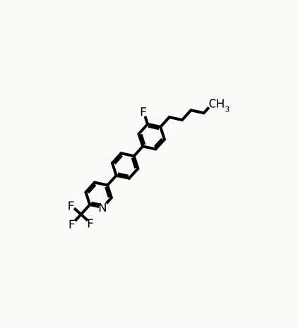 CCCCCc1ccc(-c2ccc(-c3ccc(C(F)(F)F)nc3)cc2)cc1F